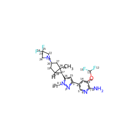 CC(C)n1nc(-c2cnc(N)c(OC(F)F)c2)cc1[C@H]1[C@@H]2CC(N3CC(F)(F)C3)CC21C